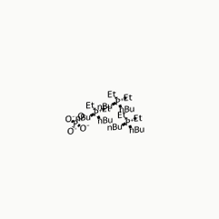 CCCC[P+](CC)(CC)CCCC.CCCC[P+](CC)(CC)CCCC.CCCC[P+](CC)(CC)CCCC.O=P([O-])([O-])[O-]